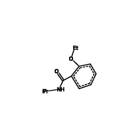 CCOc1ccccc1C(=O)NC(C)C